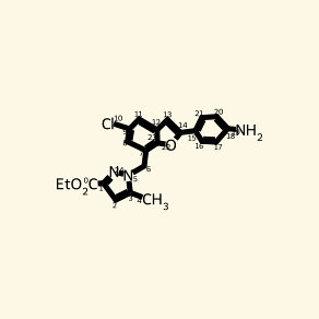 CCOC(=O)c1cc(C)n(Cc2cc(Cl)cc3cc(-c4ccc(N)cc4)oc23)n1